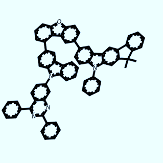 CC1(C)c2ccccc2-c2cc3c4cc(-c5ccc6oc7cccc(-c8ccc9c(c8)c8ccccc8n9-c8ccc9c(-c%10ccccc%10)nc(-c%10ccccc%10)nc9c8)c7c6c5)ccc4n(-c4ccccc4)c3cc21